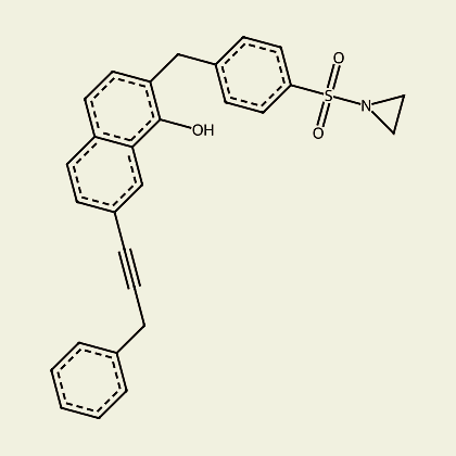 O=S(=O)(c1ccc(Cc2ccc3ccc(C#CCc4ccccc4)cc3c2O)cc1)N1CC1